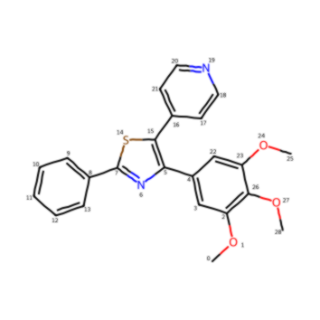 COc1cc(-c2nc(-c3ccccc3)sc2-c2ccncc2)cc(OC)c1OC